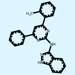 Cc1ccccc1-c1cc(-c2ccccc2)nc(Nc2n[nH]c3ccccc23)n1